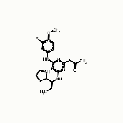 CCC(Nc1nc(CC(C)=O)nc(Nc2ccc(OC)c(F)c2)n1)C1CCCN1